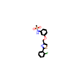 CS(=O)(=O)Nc1cccc(OCc2csc(-c3ccccc3F)n2)c1